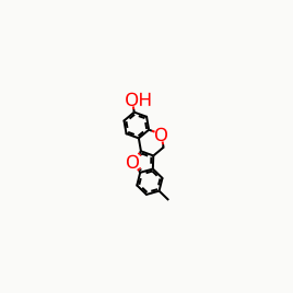 Cc1ccc2oc3c(c2c1)COc1cc(O)ccc1-3